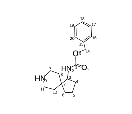 O=C(NC1CCCC12CCNCC2)OCc1ccccc1